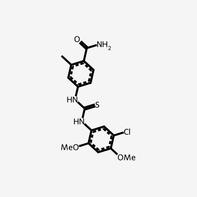 COc1cc(OC)c(NC(=S)Nc2ccc(C(N)=O)c(C)c2)cc1Cl